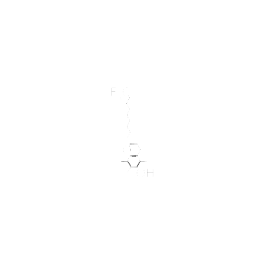 Cc1c(C)c2c(c(C)c1O)CC[C@@H](CCCCCCCCC(F)(F)F)O2